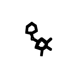 Cc1cc(ON2CC[CH]CC2)cc(C)c1C